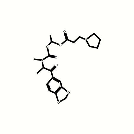 CC(OC(=O)CCN1CCCC1)OC(=O)N(C)C(C)C(=O)c1ccc2c(c1)OCO2